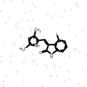 Cc1cc(C)c(/C=C2\C(=O)Nc3cccc(I)c32)[nH]1